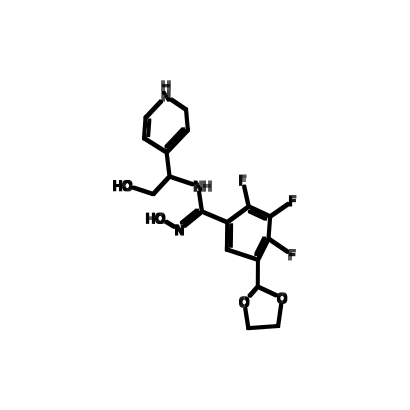 OCC(N/C(=N\O)c1cc(C2OCCO2)c(F)c(F)c1F)C1=CCNC=C1